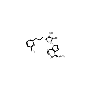 C=Nc1c(/C(N)=N\C)ccn1[C@@H]1C[C@H](CCCc2cccc(N)n2)[C@@H](O)[C@H]1O